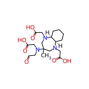 CC1(N(CC=O)CC(=O)O)CN(CC(=O)O)[C@@H]2CCCC[C@@H]2N(CC(=O)O)C1